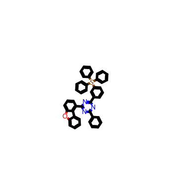 c1ccc(-c2nc(-c3cccc(S(c4ccccc4)(c4ccccc4)c4ccccc4)c3)nc(-c3cccc4oc5ccccc5c34)n2)cc1